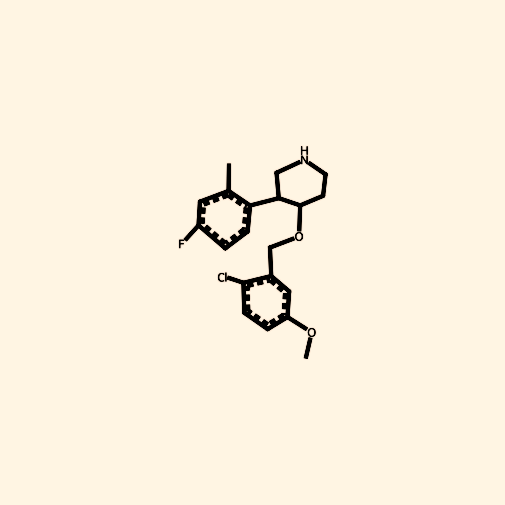 COc1ccc(Cl)c(COC2CCNCC2c2ccc(F)cc2C)c1